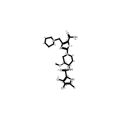 CO[C@H]1CN(c2nc(CN3CCCCC3)c(C(=O)O)s2)CC[C@H]1NC(=O)c1[nH]c(C)c(Cl)c1Cl